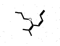 C=C/C=C\C(OCCC)=C(C)C